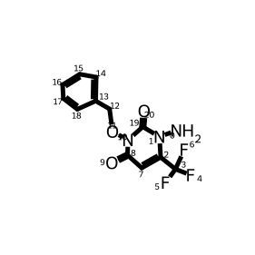 Nn1c(C(F)(F)F)cc(=O)n(OCc2ccccc2)c1=O